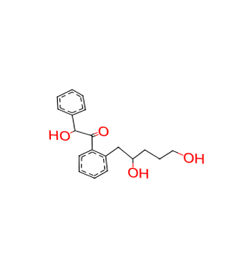 O=C(c1ccccc1CC(O)CCCO)C(O)c1ccccc1